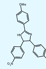 COc1ccc(C2=NC(c3ccc(Cl)cc3)C(c3ccc([N+](=O)[O-])cc3)N2)cc1